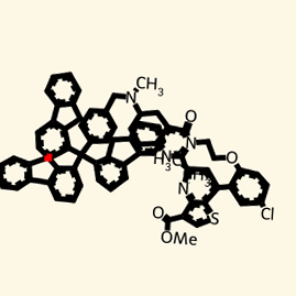 COC(=O)c1csc2c(-c3cc(Cl)ccc3OCCn3c(C)nc4c(c3=O)CC(N(C)Cc3ccc(C(c5cccc6c5Cc5ccccc5-6)(c5cccc6c5Cc5ccccc5-6)c5cccc6c5Cc5ccccc5-6)cc3)CC4)cc(C)nc12